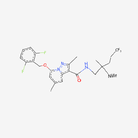 CNC(C)(CCC(F)(F)F)CNC(=O)c1c(C)nn2c(OCc3c(F)cccc3F)cc(C)cc12